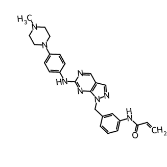 C=CC(=O)Nc1cccc(Cn2ncc3cnc(Nc4ccc(N5CCN(C)CC5)cc4)nc32)c1